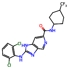 O=C(NC1CCC(C(F)(F)F)CC1)c1cc2[nH]c(Nc3c(Cl)cccc3Cl)nc2cn1